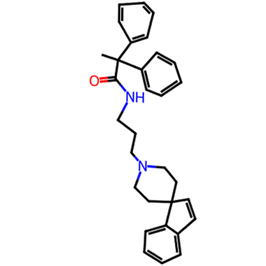 CC(C(=O)NCCCN1CCC2(C=Cc3ccccc32)CC1)(c1ccccc1)c1ccccc1